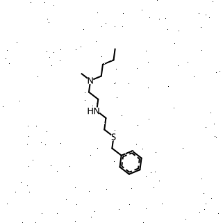 CCCCN(C)CCNCCSCc1ccccc1